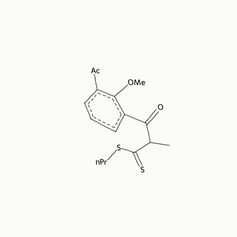 CCCSC(=S)C(C)C(=O)c1cccc(C(C)=O)c1OC